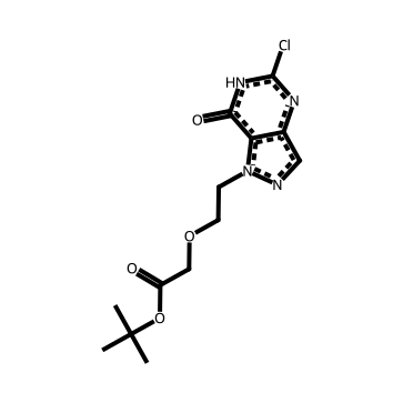 CC(C)(C)OC(=O)COCCn1ncc2nc(Cl)[nH]c(=O)c21